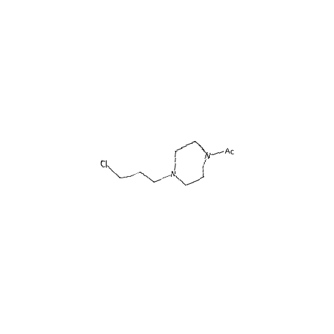 CC(=O)N1CCN(CCCCl)CC1